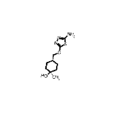 C[C@]1(O)CC[C@@H](COc2nnc(N)s2)CC1